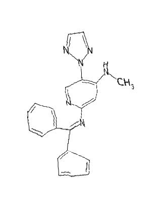 CNc1cc(N=C(c2ccccc2)c2ccccc2)ncc1-n1nccn1